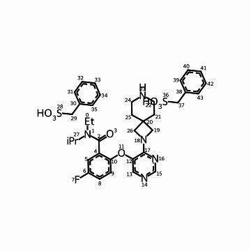 CCN(C(=O)c1cc(F)ccc1Oc1cncnc1N1CC2(CCNCC2)C1)C(C)C.O=S(=O)(O)Cc1ccccc1.O=S(=O)(O)Cc1ccccc1